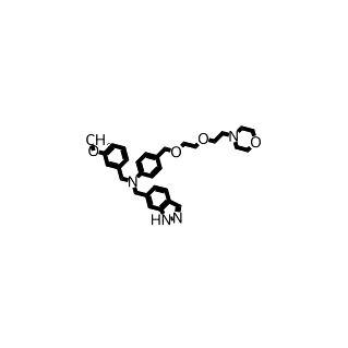 COc1cccc(CN(Cc2ccc3cn[nH]c3c2)c2ccc(COCCOCCN3CCOCC3)cc2)c1